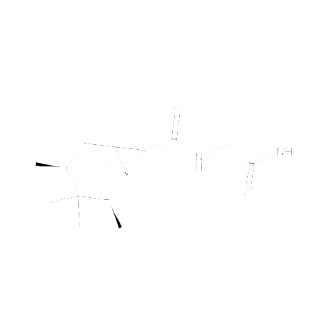 C[C@@H]1C2(C)C(C[C@H](C)C1(C)C)C2C(=O)NCC(N)=O